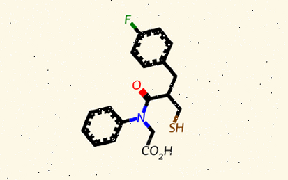 O=C(O)CN(C(=O)C(CS)Cc1ccc(F)cc1)c1ccccc1